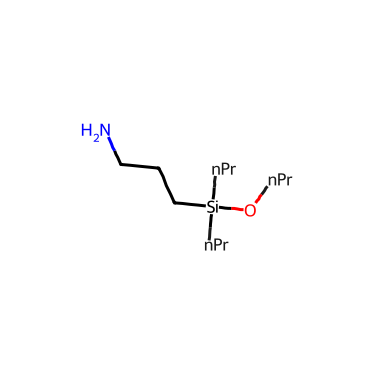 CCCO[Si](CCC)(CCC)CCCN